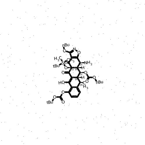 CCCCOC(=O)O[C@H]1[C@H]2C(=C(O)c3c(OC(=O)OC(C)(C)C)cccc3[C@@H]2C)C(=O)[C@]2(O[Si](C)(C)C(C)(C)C)C(=O)c3c(OCCCC)noc3[C@@H](N)[C@H]12